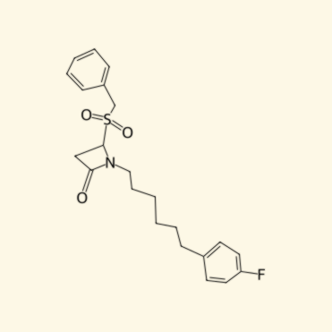 O=C1CC(S(=O)(=O)Cc2ccccc2)N1CCCCCCc1ccc(F)cc1